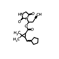 C#CCC(OC(=O)C1C(C=C2CCCC2)C1(C)C)N1C(=O)CNC1=O